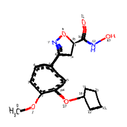 COc1ccc(C2=NO[C@@H](C(=O)NO)C2)cc1OC1CCCC1